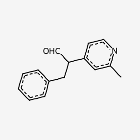 Cc1cc(C(C=O)Cc2ccccc2)ccn1